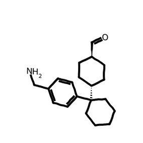 NCc1ccc(C2([C@H]3CC[C@H](C=O)CC3)CCCCC2)cc1